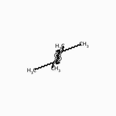 CCCCCCCCCCCCC(Cn1ccnc1OC(=O)C(=O)Oc1nccn1CC(CCCCCCCCCCCC)SCC)SCC